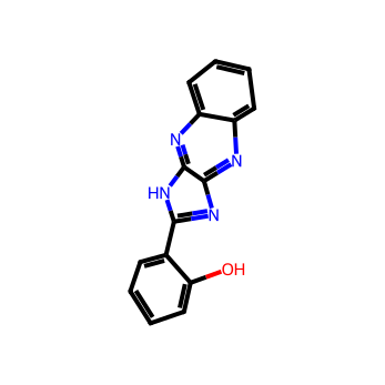 Oc1ccccc1-c1nc2nc3ccccc3nc2[nH]1